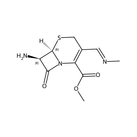 CN=CC1=C(C(=O)OC)N2C(=O)[C@@H](N)[C@H]2SC1